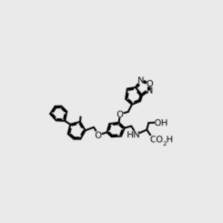 Cc1c(COc2ccc(CNC(CO)C(=O)O)c(OCc3ccc4nonc4c3)c2)cccc1-c1ccccc1